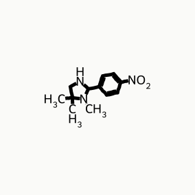 CN1C(c2ccc([N+](=O)[O-])cc2)NCC1(C)C